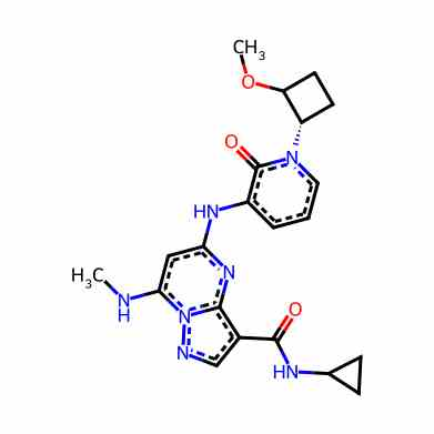 CNc1cc(Nc2cccn([C@H]3CCC3OC)c2=O)nc2c(C(=O)NC3CC3)cnn12